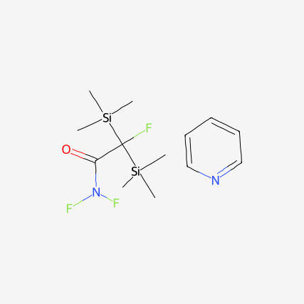 C[Si](C)(C)C(F)(C(=O)N(F)F)[Si](C)(C)C.c1ccncc1